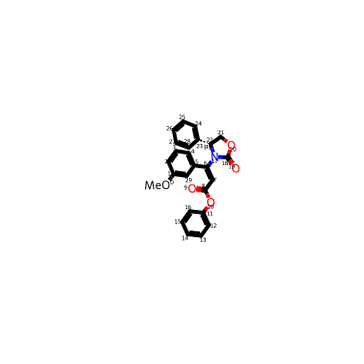 COc1cccc(C(=[C]C(=O)Oc2ccccc2)N2C(=O)OC[C@H]2c2ccccc2)c1